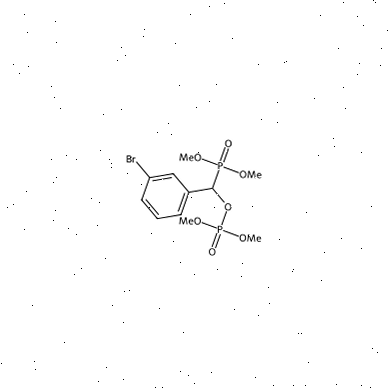 COP(=O)(OC)OC(c1cccc(Br)c1)P(=O)(OC)OC